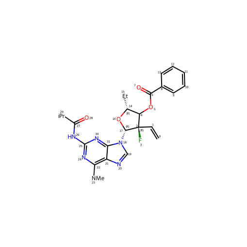 C=C[C@@]1(F)C(OC(=O)c2ccccc2)[C@@H](CC)O[C@H]1n1cnc2c(NC)nc(NC(=O)C(C)C)nc21